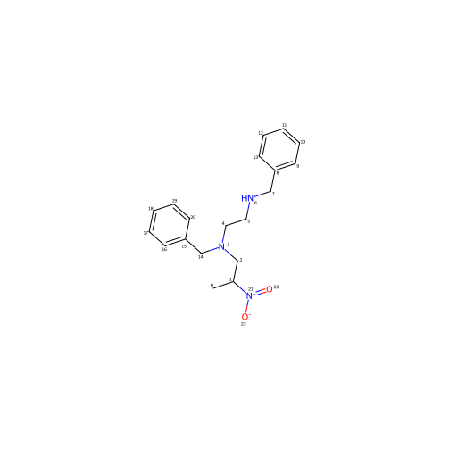 CC(CN(CCNCc1ccccc1)Cc1ccccc1)[N+](=O)[O-]